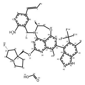 CC=Cc1cnc(N)c([C@@H](C)N2c3nc(OC[C@@]45CCCN4C[C@H](F)C5)nc4c(F)c(-c5c(C(F)(F)F)c(C)cc6[nH]ncc56)nc(c34)OC[C@@H]2C)c1.O=CO